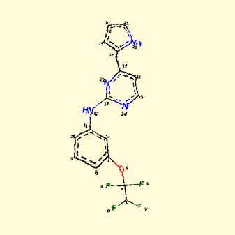 FC(F)C(F)(F)Oc1cccc(Nc2nccc(-c3ccc[nH]3)n2)c1